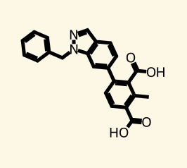 Cc1c(C(=O)O)ccc(-c2ccc3cnn(Cc4ccccc4)c3c2)c1C(=O)O